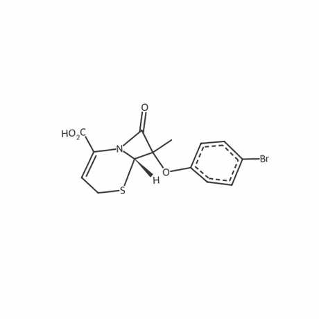 CC1(Oc2ccc(Br)cc2)C(=O)N2C(C(=O)O)=CCS[C@H]21